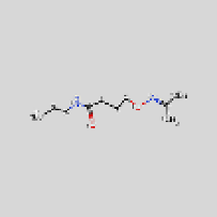 C/C(=N\OCCCC(=O)NCCC(C)(C)C)C(C)(C)C